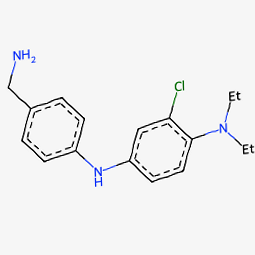 CCN(CC)c1ccc(Nc2ccc(CN)cc2)cc1Cl